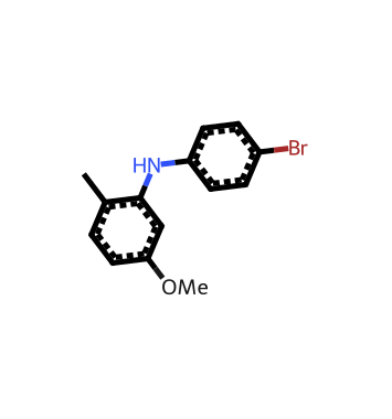 COc1ccc(C)c(Nc2ccc(Br)cc2)c1